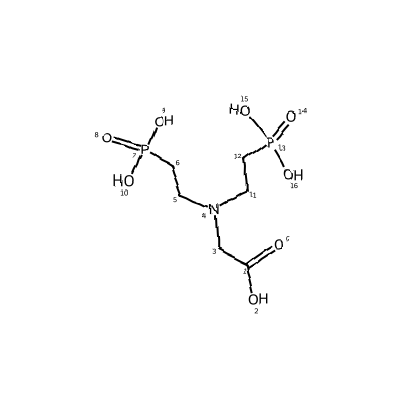 O=C(O)CN(CCP(=O)(O)O)CCP(=O)(O)O